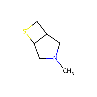 CN1CC2CSC2C1